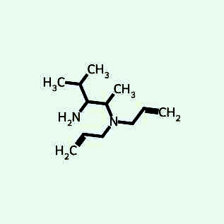 C=CCN(CC=C)C(C)C(N)C(C)C